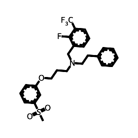 CS(=O)(=O)c1cccc(OCCCN(CCc2ccccc2)Cc2cccc(C(F)(F)F)c2F)c1